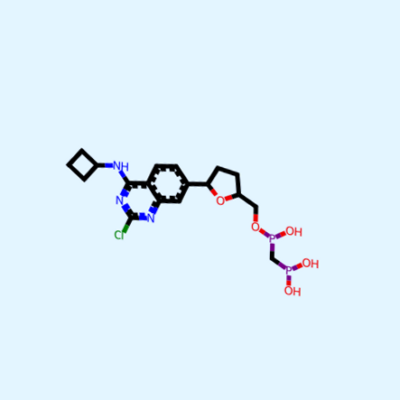 OP(O)CP(O)OCC1CCC(c2ccc3c(NC4CCC4)nc(Cl)nc3c2)O1